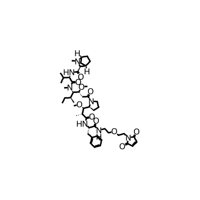 CC[C@H](C)[C@@H]([C@@H](CC(=O)N1CCC[C@H]1[C@H](OC)[C@@H](C)C(=O)N[C@@H](Cc1ccccc1)C(=O)NCCOCCN1C(=O)C=CC1=O)OC)N(C)C(=O)[C@@H](NC(=O)[C@@H]1[C@H]2CC[C@H](C2)N1C)C(C)C